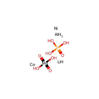 O=P(O)(O)O.[AlH3].[Co].[LiH].[Ni].[O]=[Mn](=[O])([OH])[OH]